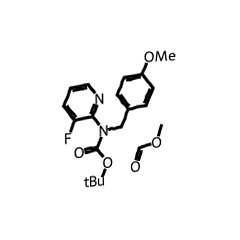 COC=O.COc1ccc(CN(C(=O)OC(C)(C)C)c2ncccc2F)cc1